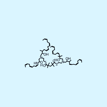 C/C=C\C/C=C\C/C=C\CC(C)C(O)CN(CCSC(=O)C(C)(C)CC(C)(C)C(=O)SCCN(CC(O)C(C)/C=C\C/C=C\C/C=C\C)CC(O)C(C)(C)/C=C\C/C=C\C/C=C\C)CC(O)N/C=C\C/C=C\C/C=C\C